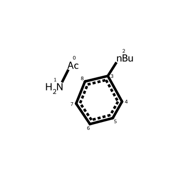 CC(N)=O.CCCCc1ccccc1